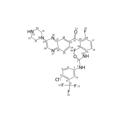 O=C(Nc1ccc(Cl)c(C(F)(F)F)c1)Nc1ccc(F)c(C(=O)c2ccc3ncc(N4CCNCC4)nc3c2)c1F